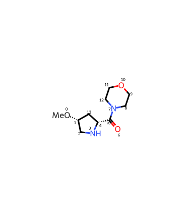 CO[C@H]1CN[C@@H](C(=O)N2CCOCC2)C1